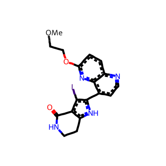 COCCOc1ccc2nccc(-c3[nH]c4c(c3I)C(=O)NCC4)c2n1